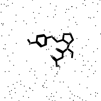 CCN(C(=O)CC(N)=O)N1CCSC1COc1ccc(OC)cc1